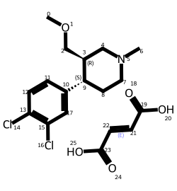 COC[C@H]1CN(C)CC[C@@H]1c1ccc(Cl)c(Cl)c1.O=C(O)/C=C/C(=O)O